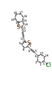 Clc1ccc(C#Cc2ccc(C#Cc3cc4ccccc4s3)s2)cc1